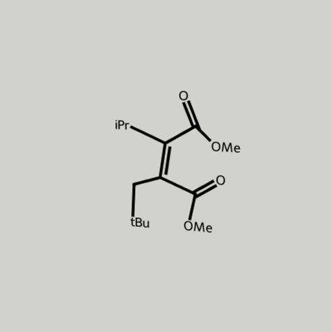 COC(=O)/C(CC(C)(C)C)=C(\C(=O)OC)C(C)C